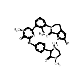 Cc1c(-c2cn(C)c(=O)c(Nc3ccc(C4C(=O)N(C)CCN4C)cc3)n2)cccc1N1CCc2cc(C(C)C)sc2C1=O